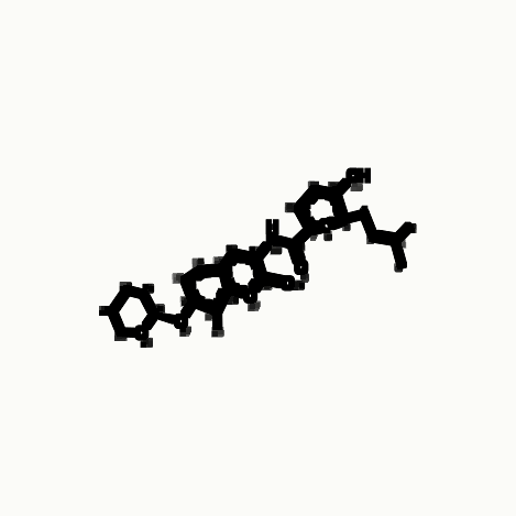 CC(C)=CCc1cc(C(=O)Nc2cc3ccc(O[C@@H]4CCCCO4)c(C)c3oc2=O)ccc1O